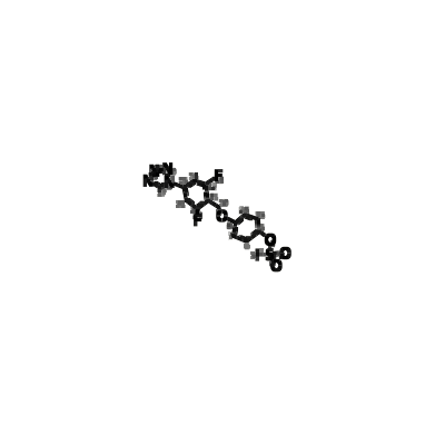 O=S(=O)(F)Oc1ccc(OCc2c(F)cc(-n3cnnn3)cc2F)cc1